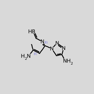 B=C/N=C(\C=C(/C)N)n1cc(N)nn1